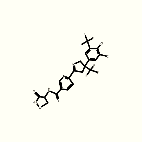 O=C1NOCC1NC(=S)c1ccc(C2=NCC(c3cc(Cl)c(Cl)c(C(F)(F)F)c3)(C(F)(F)F)C2)nc1